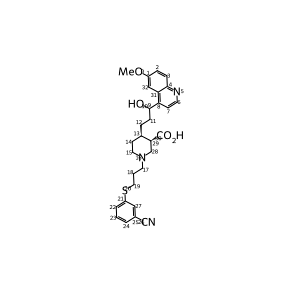 COc1ccc2nccc(C(O)CC[C@@H]3CCN(CCCSc4cccc(C#N)c4)C[C@@H]3C(=O)O)c2c1